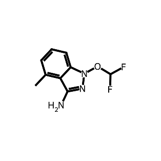 Cc1cccc2c1c(N)nn2OC(F)F